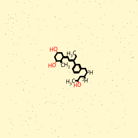 [2H]C(Cc1cccc(/C(=C/C=C2C[C@@H](O)C[C@H](O)C2=C)CC)c1)C([2H])CC(C)O